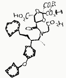 CCOC(=O)[C@@]1(C(=O)O)O[C@@H](C(=O)O)[C@H](C(=O)N(CC(=O)O)[C@H](C)[C@H](CCc2ccccc2)c2ccc(Oc3ccccc3)cc2)O1